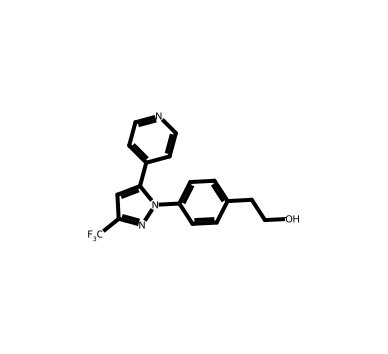 OCCc1ccc(-n2nc(C(F)(F)F)cc2-c2ccncc2)cc1